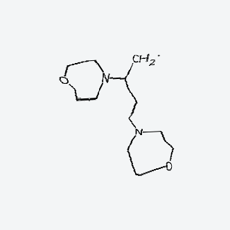 [CH2]C(CCN1CCOCC1)N1CCOCC1